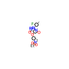 CCS(=O)(=O)N1CCc2cc(Oc3cc(=O)n(C)c(Nc4ccc(C)cc4F)c3C(N)=O)ccc21